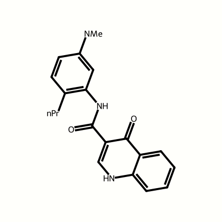 CCCc1ccc(NC)cc1NC(=O)c1c[nH]c2ccccc2c1=O